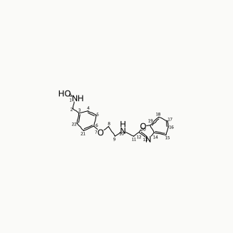 ONCc1ccc(OCCNCc2nc3ccccc3o2)cc1